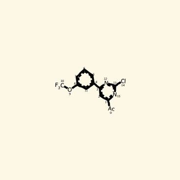 CC(=O)c1cc(-c2cccc(OC(F)(F)F)c2)nc(Cl)n1